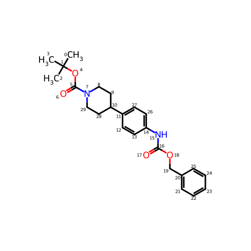 CC(C)(C)OC(=O)N1CCC(c2ccc(NC(=O)OCc3ccccc3)cc2)CC1